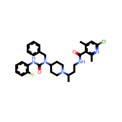 Cc1cc(Cl)nc(C)c1C(=O)NCCC(C)N1CCC(N(Cc2ccccc2)C(=O)Nc2ccccc2F)CC1